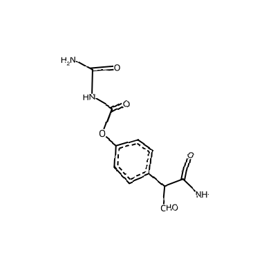 [NH]C(=O)C(C=O)c1ccc(OC(=O)NC(N)=O)cc1